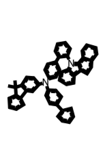 CC1(C)c2ccccc2-c2cc(N(c3ccc(-c4ccccc4)cc3)c3ccc(-c4ccccc4-n4c5ccccc5c5ccc6ccccc6c54)cc3)ccc21